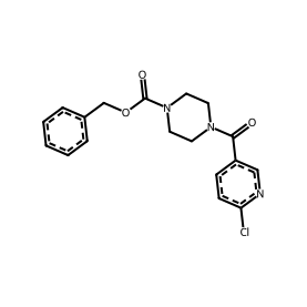 O=C(OCc1ccccc1)N1CCN(C(=O)c2ccc(Cl)nc2)CC1